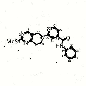 CSc1ncc2c(n1)CCN(c1cc(C(=O)Nc3ccccc3)ccn1)C2